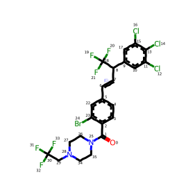 O=C(c1ccc(/C=C/C(c2cc(Cl)c(Cl)c(Cl)c2)C(F)(F)F)cc1Br)N1CCN(CC(F)(F)F)CC1